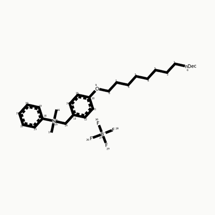 CCCCCCCCCCCCCCCCCCOc1ccc(C[N+](C)(C)c2ccccc2)cc1.F[B-](F)(F)F